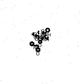 CCC[C@H](NC(=O)[C@@H]1CC(Oc2cc(-c3ccccc3)nc3cc(OC)ccc23)C=C1C(=O)N[C@H](C(=O)N[C@H](C(=O)OC)C1CCCCC1)C(C)C)C(=O)OC(C)(C)C